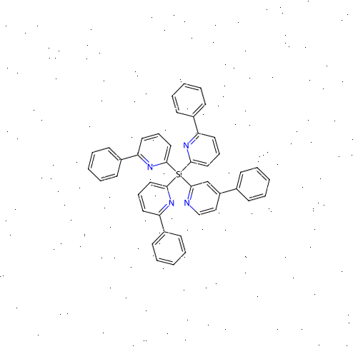 c1ccc(-c2ccnc([Si](c3cccc(-c4ccccc4)n3)(c3cccc(-c4ccccc4)n3)c3cccc(-c4ccccc4)n3)c2)cc1